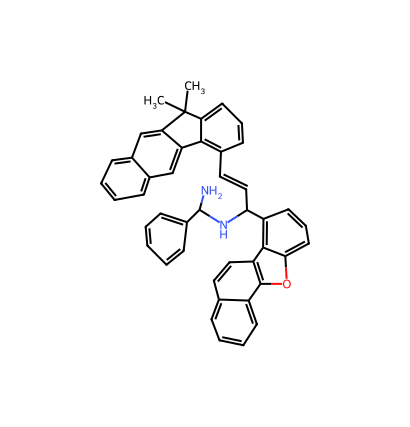 CC1(C)c2cc3ccccc3cc2-c2c(/C=C/C(NC(N)c3ccccc3)c3cccc4oc5c6ccccc6ccc5c34)cccc21